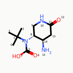 CC(C)(C)N(C(=O)O)[C@@H]1CNC(=O)C[C@H]1N